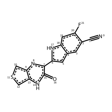 N#Cc1cc2cc(-c3nc4cscc4[nH]c3=O)[nH]c2cc1F